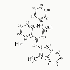 CN1c2ccccc2SC1C=C1C=C(Cl)N(c2ccccc2)c2ccccc21.I